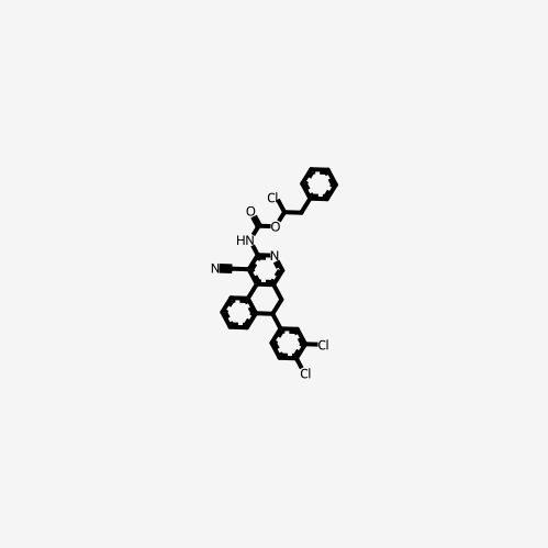 N#Cc1c(NC(=O)OC(Cl)Cc2ccccc2)ncc2c1-c1ccccc1C(c1ccc(Cl)c(Cl)c1)C2